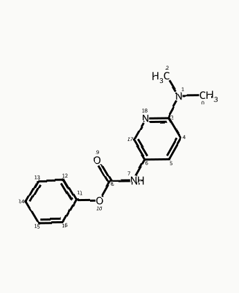 CN(C)c1ccc(NC(=O)Oc2ccccc2)cn1